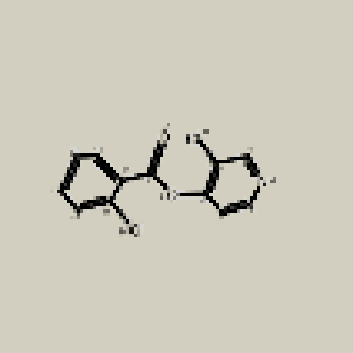 O=C(Oc1c[c]ncc1Cl)c1ccccc1Cl